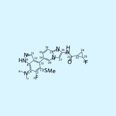 CSc1c(F)c(N(C)C)c2[nH]ncc2c1-c1ccc2nc(NC(=O)C3CC3F)cn2c1